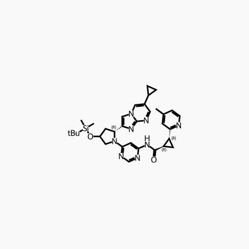 Cc1ccnc([C@@H]2C[C@H]2C(=O)Nc2cc(N3CC(O[Si](C)(C)C(C)(C)C)C[C@@H]3c3cn4cc(C5CC5)cnc4n3)ncn2)c1